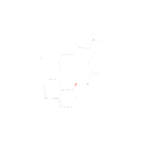 CCC(C)C(=O)O[C@H]1C[C@H](O)C=C2C=C[C@H](C)[C@H](CCC(O)CC(O)CC(=O)[O-])[C@H]21.[Na+]